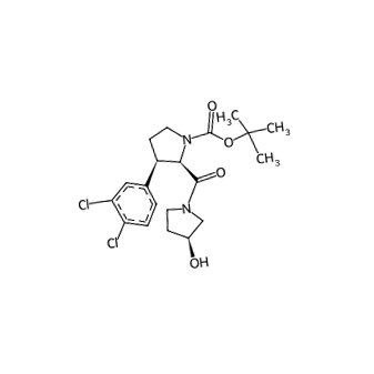 CC(C)(C)OC(=O)N1CC[C@H](c2ccc(Cl)c(Cl)c2)[C@@H]1C(=O)N1CC[C@H](O)C1